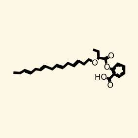 CCC=CCC=CCC=CCC=CCCOC(CC)C(=O)Oc1ccccc1C(=O)O